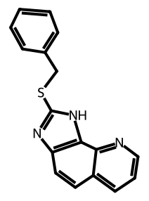 c1ccc(CSc2nc3ccc4cccnc4c3[nH]2)cc1